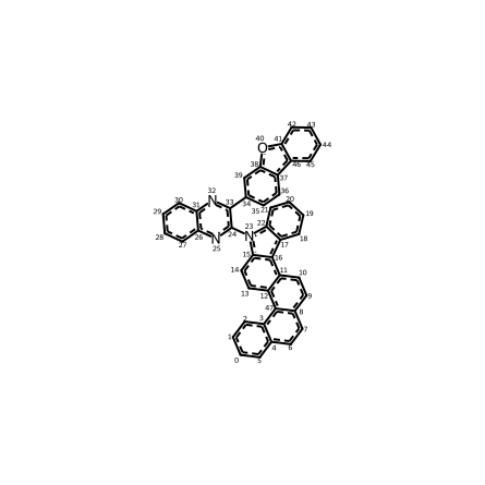 c1ccc2c(c1)ccc1ccc3c(ccc4c3c3ccccc3n4-c3nc4ccccc4nc3-c3ccc4c(c3)oc3ccccc34)c12